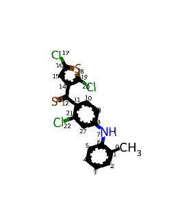 Cc1ccccc1Nc1ccc(C(=S)c2cc(Cl)sc2Cl)c(Cl)c1